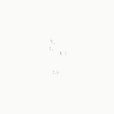 CC12CC=C(N)C=C1C=C1SC[N+](=O)N=C12.Cl